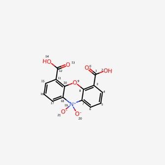 O=C(O)c1cccc2c1Oc1c(C(=O)O)cccc1[N+]2([O-])[O-]